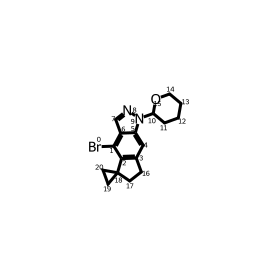 Brc1c2c(cc3c1cnn3C1CCCCO1)CCC21CC1